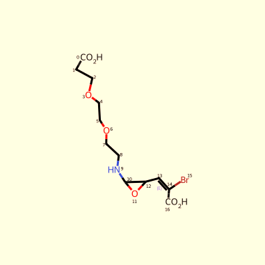 O=C(O)CCOCCOCCNC1OC1/C=C(/Br)C(=O)O